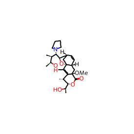 CO[C@]12C[C@H]3C=C[C@@H]4C[C@]3(O[C@H]4[C@H]([C@H](C)[C@H](C)O)N3CCCC3)C(C)=C1[C@@H](C)[C@@H]([C@@H](C)O)OC2=O